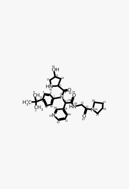 CC(C)(C)c1ccc(N(C(=O)C2CC(O)CN2)C(C(=O)NCC(=O)N2CCCC2)c2cccnc2)cc1